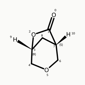 O=C1O[C@H]2COC[C@@H]1C2